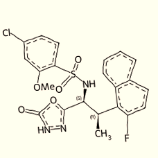 COc1cc(Cl)ccc1S(=O)(=O)N[C@H](c1n[nH]c(=O)o1)[C@H](C)c1c(F)ccc2ccccc12